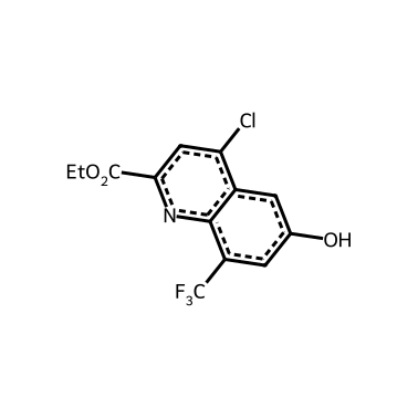 CCOC(=O)c1cc(Cl)c2cc(O)cc(C(F)(F)F)c2n1